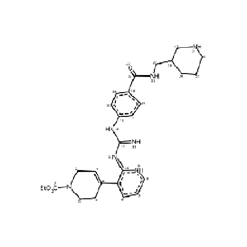 CCOC(=O)N1CC=C(c2ccc[nH]/c2=N\C(=N)Nc2ccc(C(=O)NCC3CCCNC3)cc2)CC1